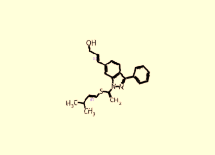 C=C(S/C=C/C(C)C)n1nc(-c2ccccc2)c2ccc(/C=C/CO)cc21